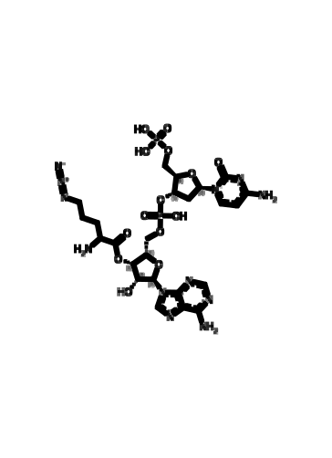 [N-]=[N+]=NCCCC(N)C(=O)O[C@H]1[C@@H](O)[C@H](n2cnc3c(N)ncnc32)O[C@H]1COP(=O)(O)O[C@H]1C[C@H](n2ccc(N)nc2=O)O[C@@H]1COP(=O)(O)O